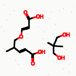 CC(C)(CO)CO.CC(C=CC(=O)O)COC=CC(=O)O